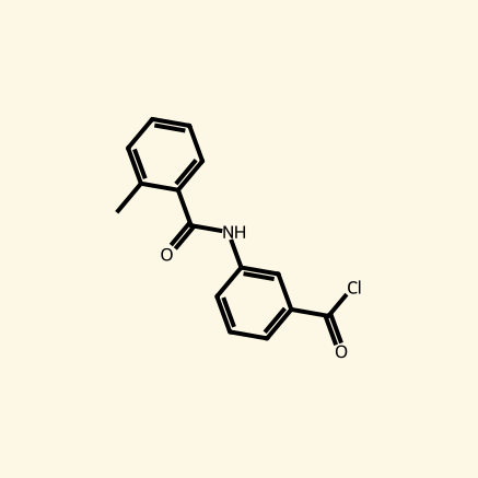 Cc1ccccc1C(=O)Nc1cccc(C(=O)Cl)c1